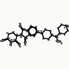 CN(C1CCNCC1)C1CCN(c2ccc3c(c2)C(=O)N(C2CCC(=O)NC2=O)C3=O)CC1